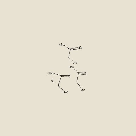 CCCCC(=O)CC(C)=O.CCCCC(=O)CC(C)=O.CCCCC(=O)CC(C)=O.[Ir]